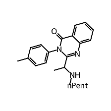 CCCCCNC(C)c1nc2ccccc2c(=O)n1-c1ccc(C)cc1